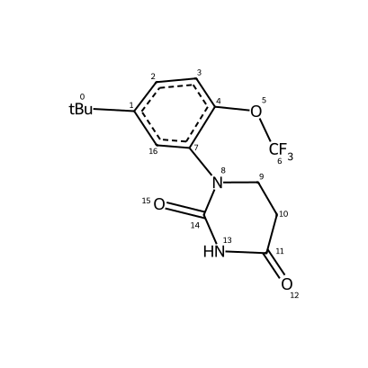 CC(C)(C)c1ccc(OC(F)(F)F)c(N2CCC(=O)NC2=O)c1